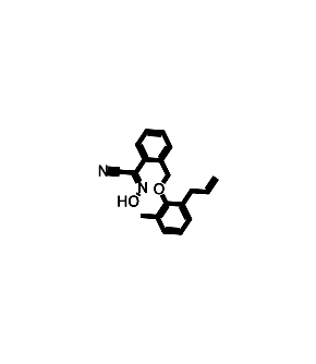 C=CCc1cccc(C)c1OCc1ccccc1C(C#N)=NO